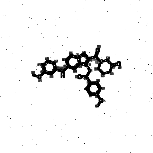 COc1ccc(C(=O)Cn2c(C(=O)N3CCCC(=O)C3)cc3ccc(Nc4ccnc(OC)c4)cc32)cc1